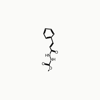 COC(=O)NNC(=O)C=Cc1ccccc1